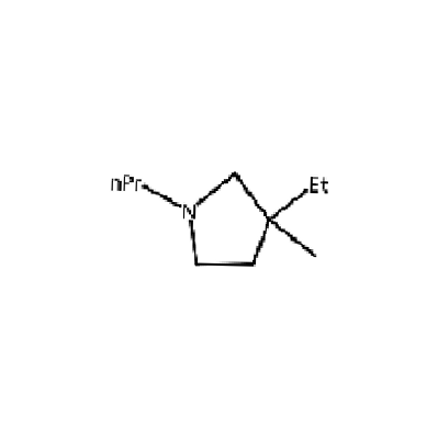 CCCN1CCC(C)(CC)C1